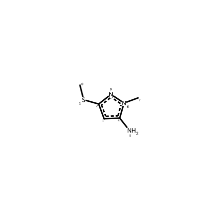 CSc1cc(N)n(C)n1